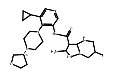 NC1NN2CC(F)CNC2C1C(=O)Nc1cncc(C2CC2)c1N1CCN([C@@H]2CCOC2)CC1